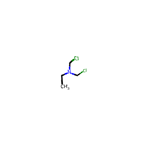 CCN(CCl)CCl